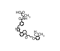 Cc1cccc(OCCCC(=O)N2CCCc3c(-c4cnn(Cc5cccc(C(=O)NC(C)CC(=O)O)c5)c4)cccc32)c1C